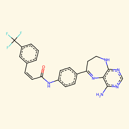 Nc1ncnc2c1N=C(c1ccc(NC(=O)/C=C\c3cccc(C(F)(F)F)c3)cc1)CCN2